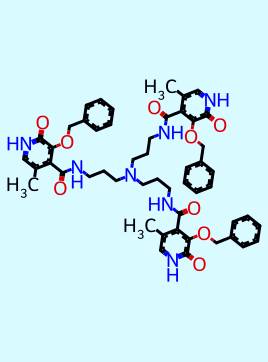 Cc1c[nH]c(=O)c(OCc2ccccc2)c1C(=O)NCCCN(CCCNC(=O)c1c(C)c[nH]c(=O)c1OCc1ccccc1)CCCNC(=O)c1c(C)c[nH]c(=O)c1OCc1ccccc1